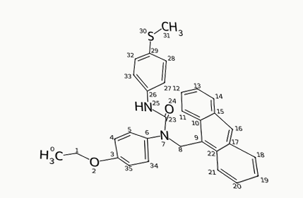 CCOc1ccc(N(Cc2c3ccccc3cc3ccccc23)C(=O)Nc2ccc(SC)cc2)cc1